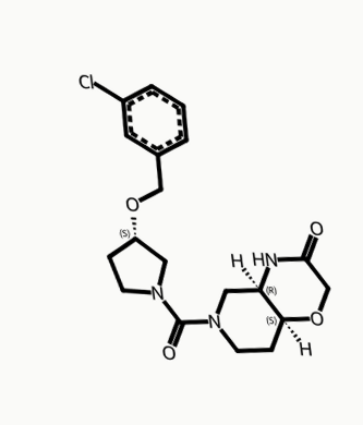 O=C1CO[C@H]2CCN(C(=O)N3CC[C@H](OCc4cccc(Cl)c4)C3)C[C@H]2N1